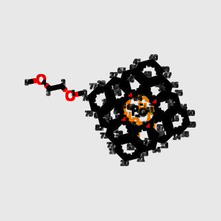 COCCOC.c1ccc([PH](c2ccccc2)(c2ccccc2)[Pd]([PH](c2ccccc2)(c2ccccc2)c2ccccc2)([PH](c2ccccc2)(c2ccccc2)c2ccccc2)[PH](c2ccccc2)(c2ccccc2)c2ccccc2)cc1